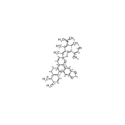 C=C/C(=C(C)\C=C(/C)C1(C/C=C\C(C)=C/C(C)C)C=Cc2c3c(c4cc5c(cc4c2O1)OCO5)C(/C=C\C(C)C=C)=CCC3)N(C)C